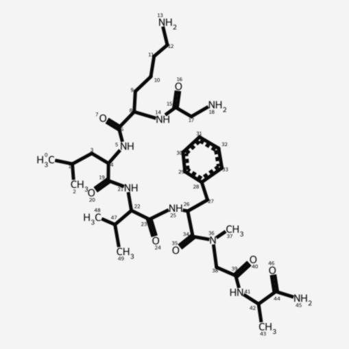 CC(C)CC(NC(=O)C(CCCCN)NC(=O)CN)C(=O)NC(C(=O)NC(Cc1ccccc1)C(=O)N(C)CC(=O)NC(C)C(N)=O)C(C)C